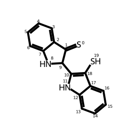 S=C1c2ccccc2NC1c1[nH]c2ccccc2c1S